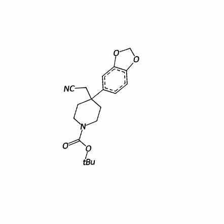 CC(C)(C)OC(=O)N1CCC(CC#N)(c2ccc3c(c2)OCO3)CC1